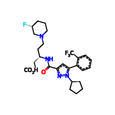 O=C(O)C[C@H](CCN1CCC[C@@H](F)C1)NC(=O)c1cc(-c2ccccc2C(F)(F)F)n(C2CCCC2)n1